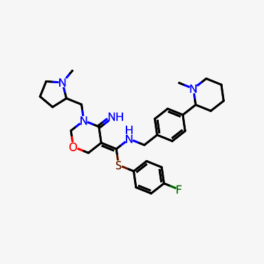 CN1CCCC1CN1COC/C(=C(/NCc2ccc(C3CCCCN3C)cc2)Sc2ccc(F)cc2)C1=N